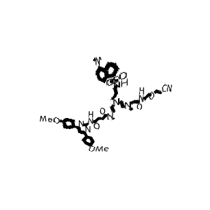 COc1ccc(-c2cc(-c3ccc(OC)cc3)nc(NC(=O)CCC(=O)N(C)CCN(CCCNS(=O)(=O)c3cccc4c(N(C)C)cccc34)CCN(C)CC(=O)NCCOCCC#N)n2)cc1